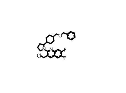 Fc1cc2cc(CCl)c(N3CCCC3C3CCC(COCc4ccccc4)CC3)nc2cc1F